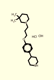 CC1(C)CCCN(CCCOc2ccc(C3CCNCC3)cc2)C1.Cl.Cl